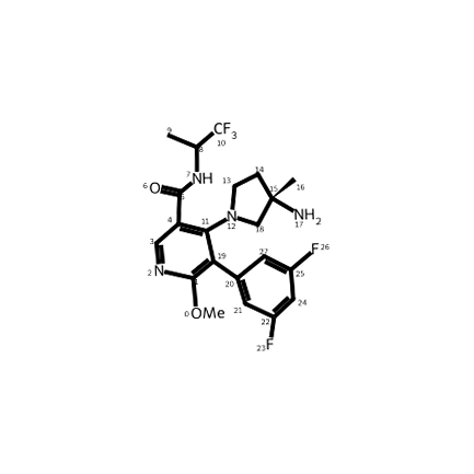 COc1ncc(C(=O)NC(C)C(F)(F)F)c(N2CC[C@](C)(N)C2)c1-c1cc(F)cc(F)c1